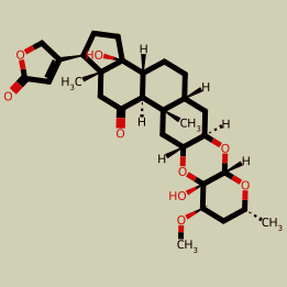 CO[C@@H]1C[C@@H](C)O[C@H]2O[C@@H]3C[C@H]4CC[C@@H]5[C@H](C(=O)C[C@]6(C)[C@@H](C7=CC(=O)OC7)CC[C@]56O)[C@@]4(C)C[C@H]3O[C@]21O